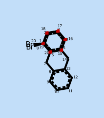 Brc1cccc2c1C1c3ccccc3C2c2cccc(Br)c21